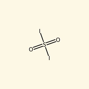 O=S(=O)(I)I